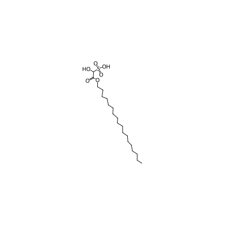 CCCCCCCCCCCCCCCCCCOC(=O)C(O)S(=O)(=O)O